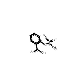 CC(=O)C(O)c1ccccc1OS(C)(=O)=O